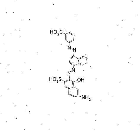 Nc1ccc2cc(S(=O)(=O)O)c(/N=N/c3ccc(/N=N/c4cccc(C(=O)O)c4)c4ccccc34)c(O)c2c1